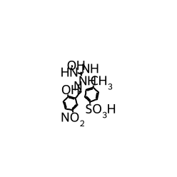 Cc1ccc(S(=O)(=O)O)cc1.N=C(NO)N/N=C/c1cc([N+](=O)[O-])ccc1O